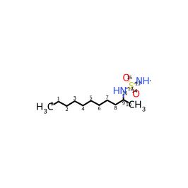 CCCCCCCCCC(C)NS([NH])(=O)=O